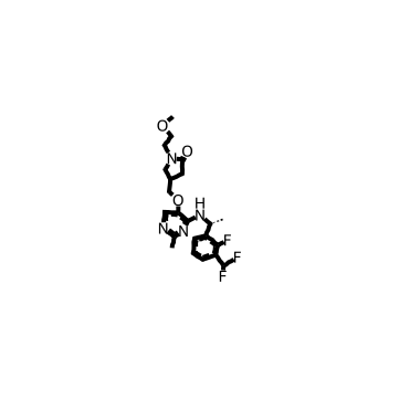 COCCN1CC(COc2cnc(C)nc2N[C@H](C)c2cccc(C(F)F)c2F)CC1=O